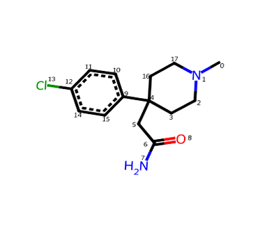 CN1CCC(CC(N)=O)(c2ccc(Cl)cc2)CC1